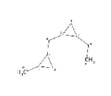 [CH2]C1CC1CC1CC1CC